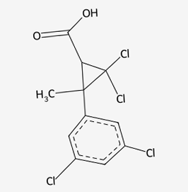 CC1(c2cc(Cl)cc(Cl)c2)C(C(=O)O)C1(Cl)Cl